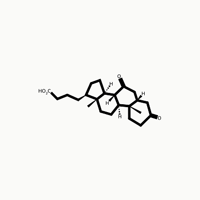 C[C@]12CCC(=O)C[C@H]1CC(=O)[C@@H]1[C@@H]2CC[C@]2(C)[C@@H](CCCC(=O)O)CC[C@@H]12